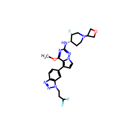 COc1nc(N[C@H]2CCN(C3COC3)C[C@H]2F)nn2ccc(-c3ccc4nnn(CCC(F)F)c4c3)c12